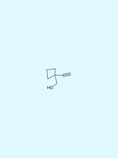 C#CC1(CO)CCC1